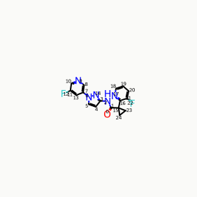 O=C(Nc1ccn(-c2cncc(F)c2)n1)C1(c2ncccc2F)CC1